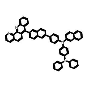 c1ccc(N(c2ccccc2)c2ccc(N(c3ccc(-c4ccc5cc(-c6c7ccccc7nc7c6ccc6cccnc67)ccc5c4)cc3)c3ccc4ccccc4c3)cc2)cc1